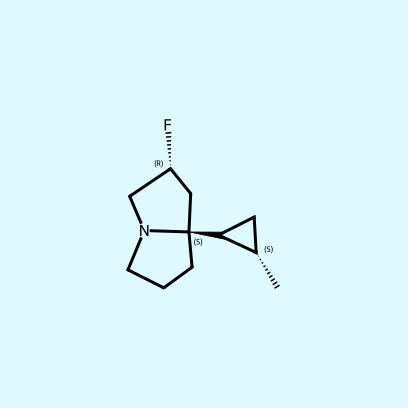 C[C@H]1CC1[C@@]12CCCN1C[C@H](F)C2